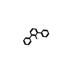 [CH2]c1c(-c2ccccc2)cccc1-c1ccccc1